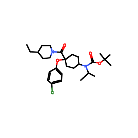 CCC1CCN(C(=O)C2(Oc3ccc(Cl)cc3)CCC(N(C(=O)OC(C)(C)C)C(C)C)CC2)CC1